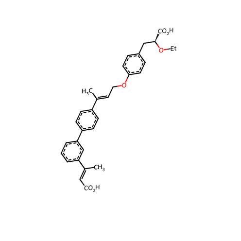 CCO[C@@H](Cc1ccc(OC/C=C(\C)c2ccc(-c3cccc(/C(C)=C/C(=O)O)c3)cc2)cc1)C(=O)O